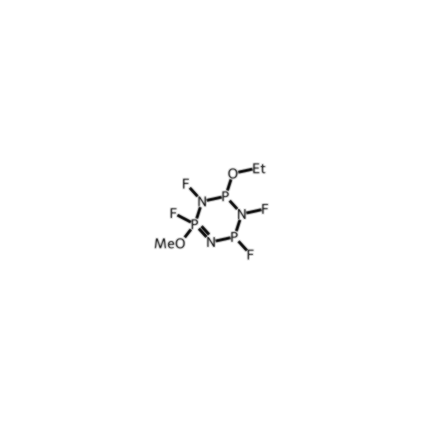 CCOP1N(F)P(F)N=P(F)(OC)N1F